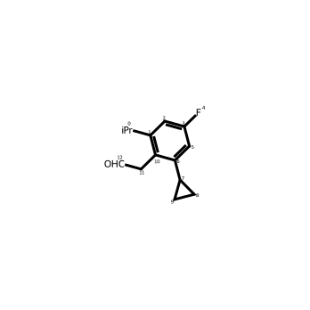 CC(C)c1cc(F)cc(C2CC2)c1CC=O